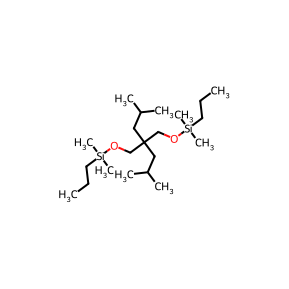 CCC[Si](C)(C)OCC(CO[Si](C)(C)CCC)(CC(C)C)CC(C)C